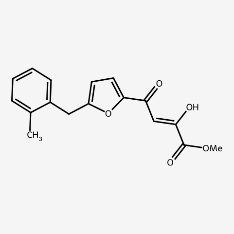 COC(=O)/C(O)=C/C(=O)c1ccc(Cc2ccccc2C)o1